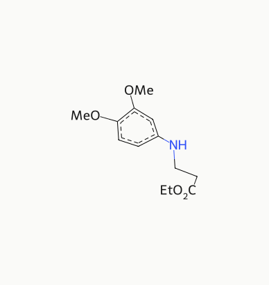 CCOC(=O)CCNc1ccc(OC)c(OC)c1